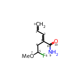 C=C/C=C(\CC(F)OC)C(N)=O